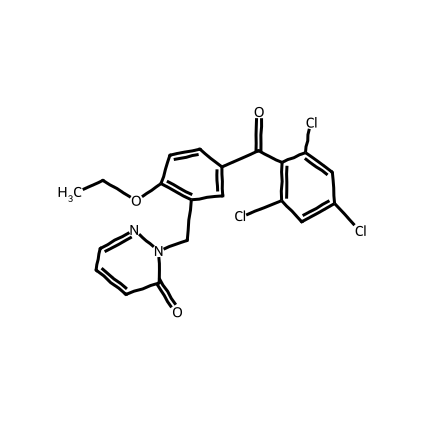 CCOc1ccc(C(=O)c2c(Cl)cc(Cl)cc2Cl)cc1Cn1ncccc1=O